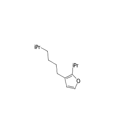 CC(C)CCCCc1ccoc1C(C)C